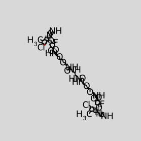 Cc1cc(Cl)cc2c1C[C@H](N1CCNCC1)[C@H]2Oc1ccc(S(=O)(=O)NCCOCCOCCNC(=O)NCCCCNC(=O)NCCOCCOCCNS(=O)(=O)c2ccc(O[C@H]3c4cc(Cl)cc(C)c4C[C@@H]3N3CCNCC3)c(F)c2)cc1F